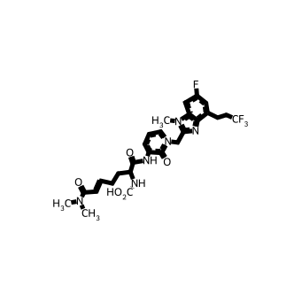 CN(C)C(=O)/C=C/CCC(NC(=O)O)C(=O)Nc1cccn(Cc2nc3c(CCC(F)(F)F)cc(F)cc3n2C)c1=O